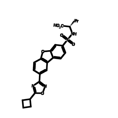 CC(C)[C@H](NS(=O)(=O)c1ccc2c(c1)oc1ccc(-c3noc(C4CCC4)n3)cc12)C(=O)O